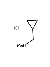 CNCC1CC1.Cl